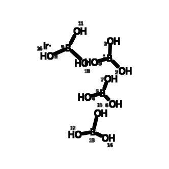 OB(O)O.OB(O)O.OB(O)O.OB(O)O.[Ir]